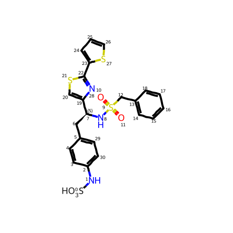 O=S(=O)(O)Nc1ccc(C[C@H](NS(=O)(=O)Cc2ccccc2)c2csc(-c3cccs3)n2)cc1